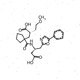 COCC[C@H](CC1(C(=O)N[C@H](CC(=O)O)Cc2ncc(-c3ccccc3)o2)CCCC1)C(=O)O